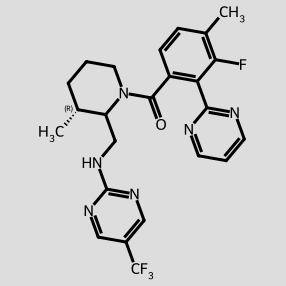 Cc1ccc(C(=O)N2CCC[C@@H](C)C2CNc2ncc(C(F)(F)F)cn2)c(-c2ncccn2)c1F